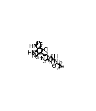 CC(C)Nc1c(F)c(Cl)c(-c2cn3cc(NC(=O)C4(F)CC4)nc3cn2)c2cn[nH]c12